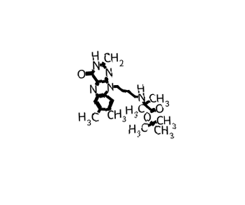 C=c1nc2c(c(=O)[nH]1)=Nc1cc(C)c(C)cc1N2CCCCNC(C)(C)C(=O)OC(C)(C)C